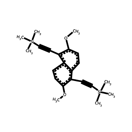 COc1ccc2c(C#C[Si](C)(C)C)c(OC)ccc2c1C#C[Si](C)(C)C